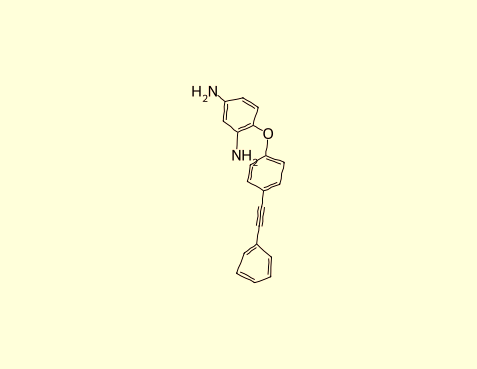 Nc1ccc(Oc2ccc(C#Cc3ccccc3)cc2)c(N)c1